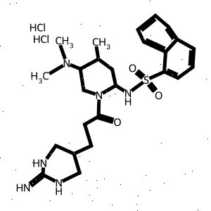 CC1CC(NS(=O)(=O)c2cccc3ccccc23)N(C(=O)CCC2CNC(=N)NC2)CC1N(C)C.Cl.Cl